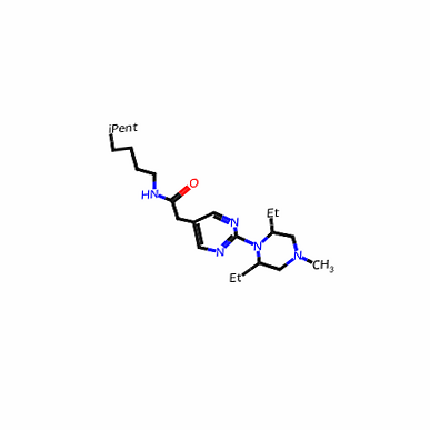 CCCC(C)CCCCNC(=O)Cc1cnc(N2C(CC)CN(C)CC2CC)nc1